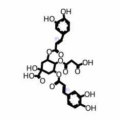 O=C(O)CC(=O)OC1C(OC(=O)/C=C/c2ccc(O)c(O)c2)CC(O)(C(=O)O)CC1OC(=O)/C=C/c1ccc(O)c(O)c1